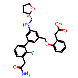 NC(=O)Cc1cccc(-c2cc(COc3ccccc3CC(=O)O)cc(NC[C@@H]3CCCO3)c2)c1F